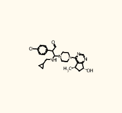 C[C@@H]1C[C@@H](O)c2ncnc(N3CCN(C(NCC4CC4)C(C=O)c4ccc(Cl)cc4)CC3)c21